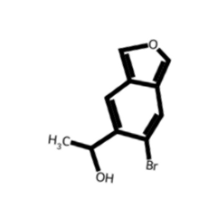 CC(O)c1cc2cocc2cc1Br